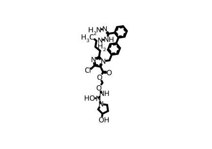 CCCCc1nc(Cl)c(C(=O)OCONN(O)N2CCC(O)C2)n1Cc1ccc(-c2ccccc2/C(=N/N)NN)cc1